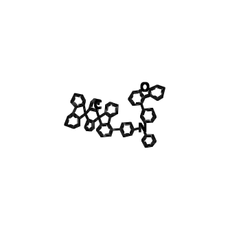 c1ccc(N(c2ccc(-c3cccc4c3-c3ccccc3C43c4ccccc4C4(c5ccccc5-c5ccccc54)c4ccccc43)cc2)c2cccc(-c3cccc4oc5ccccc5c34)c2)cc1